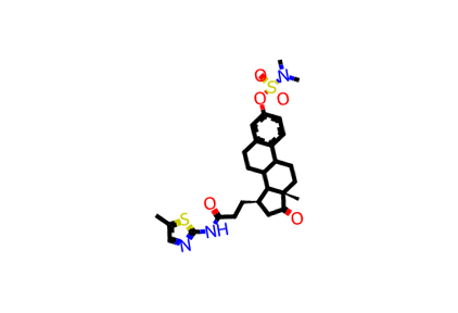 Cc1cnc(NC(=O)CC[C@@H]2CC(=O)[C@@]3(C)CCC4c5ccc(OS(=O)(=O)N(C)C)cc5CCC4C23)s1